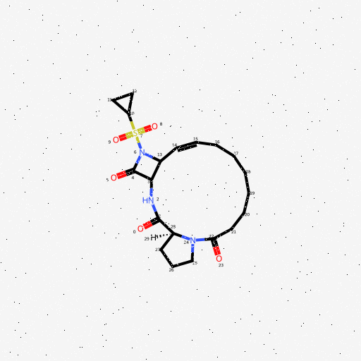 O=C1NC2C(=O)N(S(=O)(=O)C3CC3)C2/C=C\CCCCCCC(=O)N2CCC[C@@H]12